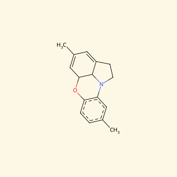 CC1=CC2Oc3ccc(C)cc3N3CCC(=C1)C23